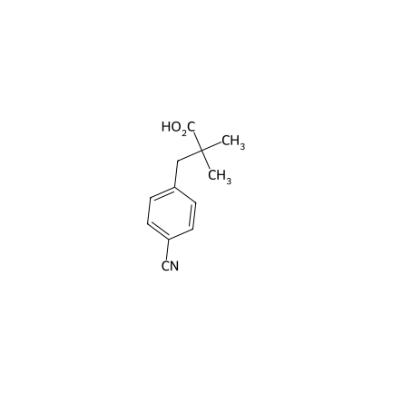 CC(C)(Cc1ccc(C#N)cc1)C(=O)O